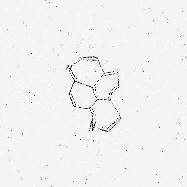 [c]1cc2ccc3ccnc4ccc(n1)c2c34